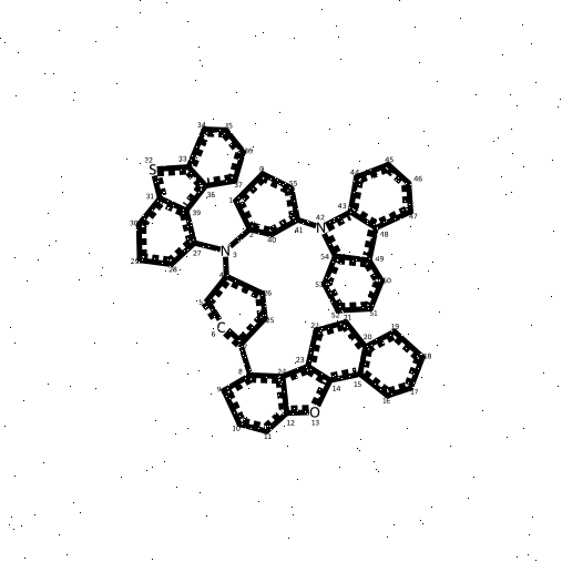 c1cc(N(c2ccc(-c3cccc4oc5c6ccccc6ccc5c34)cc2)c2cccc3sc4ccccc4c23)cc(-n2c3ccccc3c3ccccc32)c1